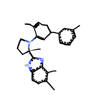 CC1=CCC(c2cccc(C)c2)[C]=C1N1CCC[C@@]1(C)c1nc2c(C)c(C)ccc2[nH]1